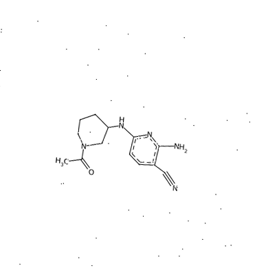 CC(=O)N1CCCC(Nc2ccc(C#N)c(N)n2)C1